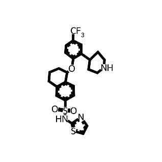 O=S(=O)(Nc1nccs1)c1ccc2c(c1)CCCC2Oc1ccc(C(F)(F)F)cc1C1CCNCC1